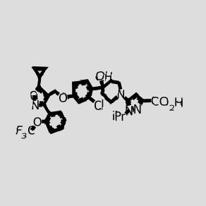 CC(C)n1nc(C(=O)O)cc1N1CCC(O)(c2ccc(OCc3c(-c4ccccc4OC(F)(F)F)noc3C3CC3)cc2Cl)CC1